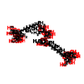 C=C[C@](C)(CC/C=C(\C)CC/C=C(\C)CC/C=C(/C)CO[C@@H]1O[C@@H](C)[C@H](O)[C@@H](O[C@@H]2O[C@H](CO[C@@H]3O[C@@H](C)[C@H](O)[C@@H](O)[C@H]3OC(=O)/C(C)=C/CC/C(C)=C/CC/C(C)=C/CC[C@@](C)(C=C)O[C@@H]3O[C@H](CO)[C@@H](O)[C@H](O)[C@H]3O[C@@H]3O[C@H](CO)[C@@H](O)[C@H](O)[C@H]3O)[C@@H](O)[C@H](O)[C@H]2O)[C@H]1O)O[C@@H]1O[C@H](CO)[C@@H](O)[C@H](O)[C@H]1O[C@@H]1O[C@H](CO)[C@@H](O)[C@H](O)[C@H]1O